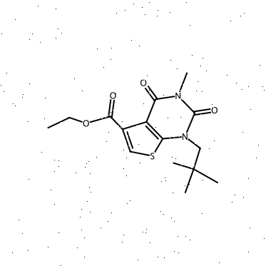 CCOC(=O)c1csc2c1c(=O)n(C)c(=O)n2CC(C)(C)C